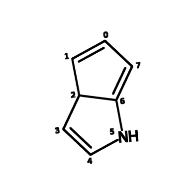 C1=CC2C=CNC2=C1